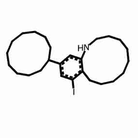 Ic1cc(C2CCCCCCCCCC2)cc2c1CCCCCCCCCN2